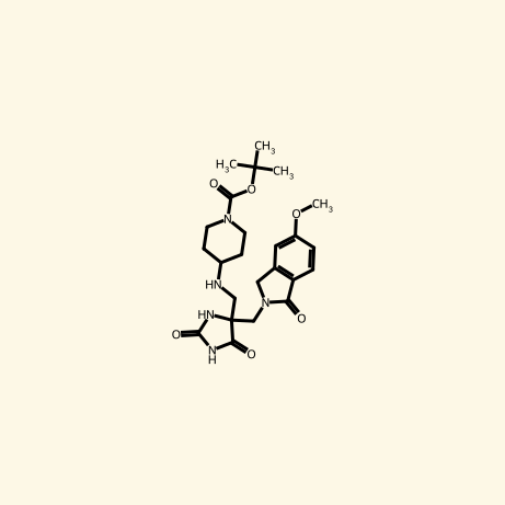 COc1ccc2c(c1)CN(CC1(CNC3CCN(C(=O)OC(C)(C)C)CC3)NC(=O)NC1=O)C2=O